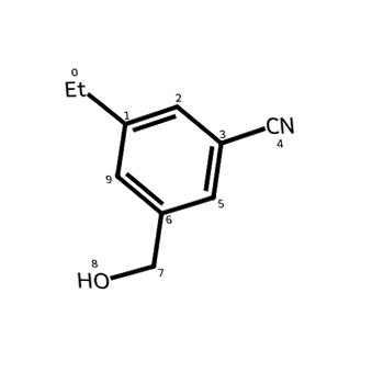 CCc1cc(C#N)cc(CO)c1